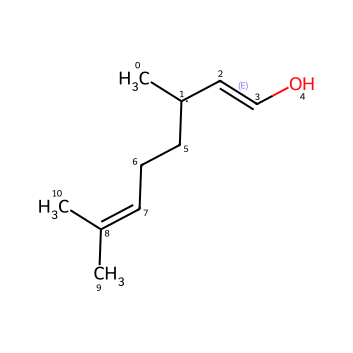 C[C](/C=C/O)CCC=C(C)C